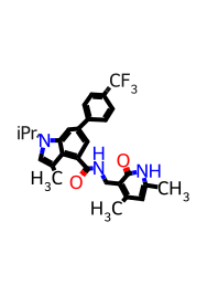 Cc1cc(C)c(CNC(=O)c2cc(-c3ccc(C(F)(F)F)cc3)cc3c2c(C)cn3C(C)C)c(=O)[nH]1